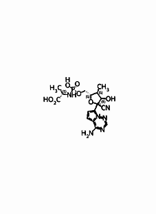 C[C@H]1[C@@H](O)[C@](C#N)(c2ccc3c(N)ncnn23)O[C@@H]1COP(=O)(O)N[C@@H](C)C(=O)O